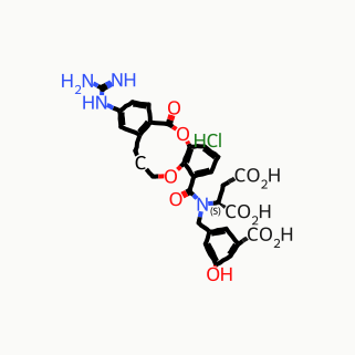 Cl.N=C(N)Nc1ccc2c(c1)CCCOc1c(cccc1C(=O)N(Cc1cc(O)cc(C(=O)O)c1)[C@@H](CC(=O)O)C(=O)O)OC2=O